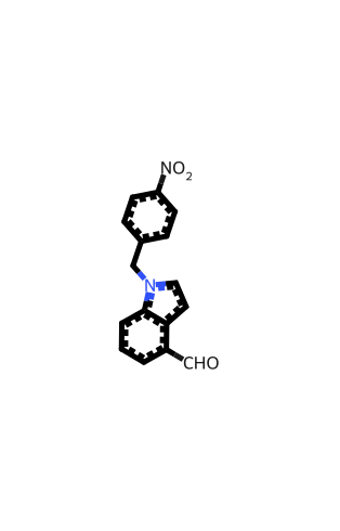 O=Cc1cccc2c1ccn2Cc1ccc([N+](=O)[O-])cc1